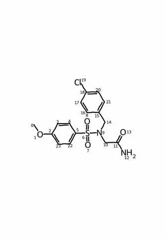 COc1ccc(S(=O)(=O)N(CC(N)=O)Cc2ccc(Cl)cc2)cc1